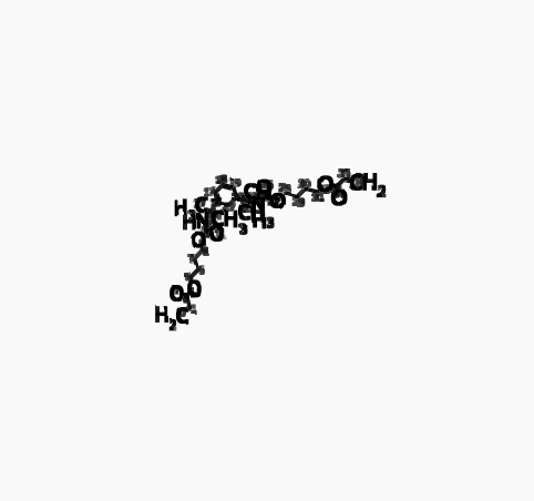 C=CC(=O)OCCCCOC(=O)NC(C)(C)C1=CC=CC(C(C)(C)NC(=O)OCCCCOC(=O)C=C)C1